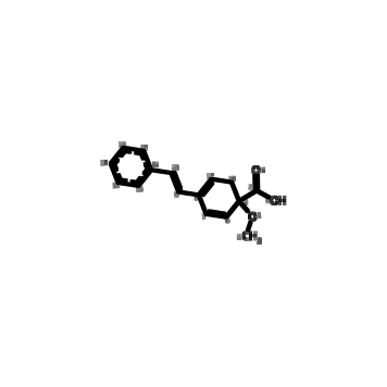 COC1(C(=O)O)C=CC(C=Cc2ccccc2)=CC1